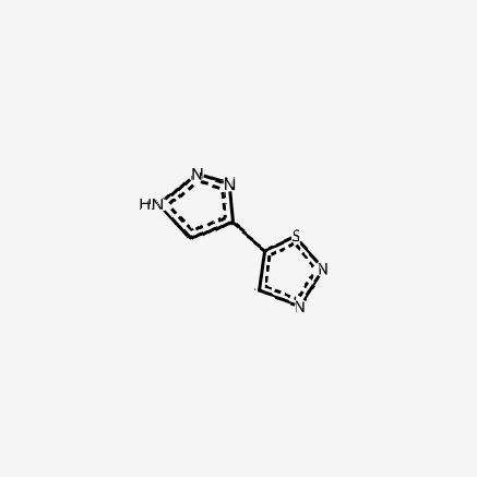 [c]1nnsc1-c1c[nH]nn1